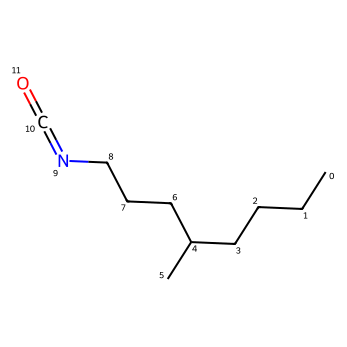 CCCCC(C)CCCN=C=O